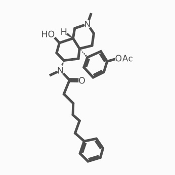 CC(=O)Oc1cccc([C@@]23CCN(C)C[C@H]2C(O)C[C@@H](N(C)C(=O)CCCCCc2ccccc2)C3)c1